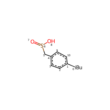 CCC(C)c1ccc(CS(=O)O)cc1